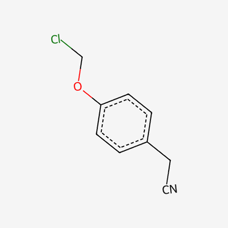 N#CCc1ccc(OCCl)cc1